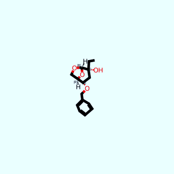 CC[C@@]1(O)C[C@H](OCc2ccccc2)[C@H]2CO[C@@H]1O2